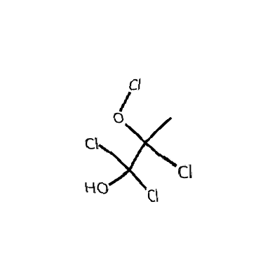 CC(Cl)(OCl)C(O)(Cl)Cl